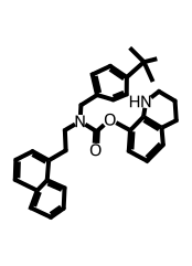 CC(C)(C)c1ccc(CN(CCc2cccc3ccccc23)C(=O)Oc2cccc3c2NCCC3)cc1